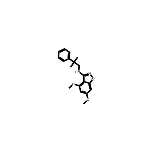 COc1cc(OC)c2c(NCC(C)(C)c3ccccc3)noc2c1